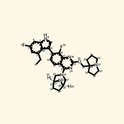 CCc1cc(F)cc2[nH]cc(-c3ccc4c(N5C[C@H]6CC[C@@H](C5)N6)nc(OCC56CCCN5CCC6)nc4c3F)c12